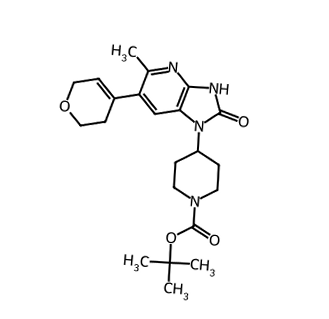 Cc1nc2[nH]c(=O)n(C3CCN(C(=O)OC(C)(C)C)CC3)c2cc1C1=CCOCC1